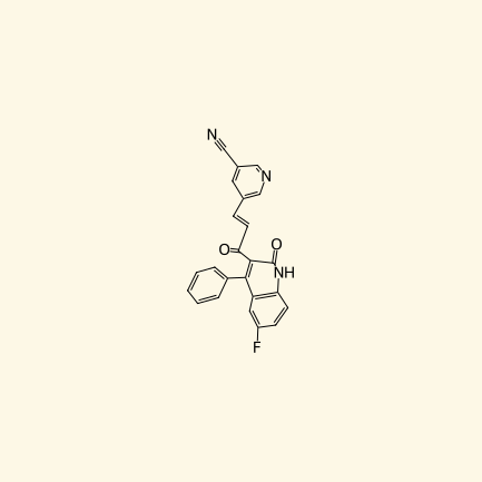 N#Cc1cncc(/C=C/C(=O)c2c(-c3ccccc3)c3cc(F)ccc3[nH]c2=O)c1